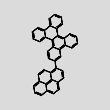 c1cc2ccc3ccc(-c4ccc5c(c4)c4ccccc4c4c6ccccc6c6ccccc6c54)c4ccc(c1)c2c34